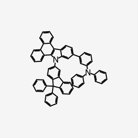 c1ccc(N(c2ccccc2)c2cccc(-c3ccc4c5c6ccccc6c6ccccc6c5n(-c5ccc6c(c5)-c5ccccc5C6(c5ccccc5)c5ccccc5)c4c3)c2)cc1